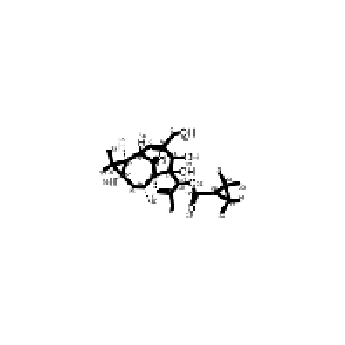 CC1=C[C@]23C(=O)[C@@H](C=C(CO)[C@@H](O)[C@]2(O)[C@H]1OC(=O)C1C(C)(C)C1(C)C)[C@H]1[C@@H](C[C@H]3C)C1(C)C